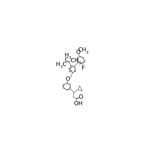 COc1ccc(F)c(-c2cc(COc3cccc(C(CC(=O)O)C4CC4)c3)sc2C(C)(C)C)c1